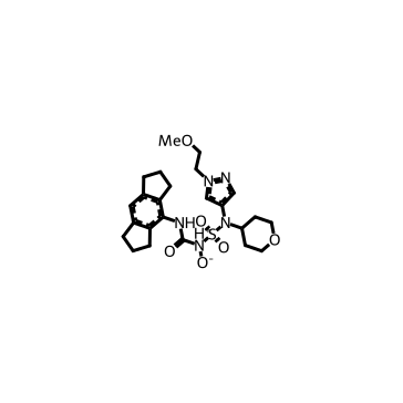 COCCn1cc(N(C2CCOCC2)S(=O)(=O)[NH+]([O-])C(=O)Nc2c3c(cc4c2CCC4)CCC3)cn1